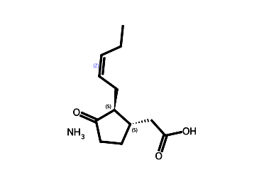 CC/C=C\C[C@@H]1C(=O)CC[C@H]1CC(=O)O.N